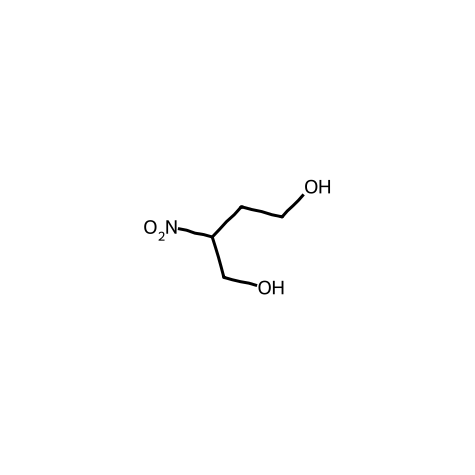 O=[N+]([O-])C(CO)CCO